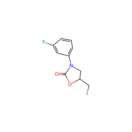 O=C1OC(CI)CN1c1cc[c]c(F)c1